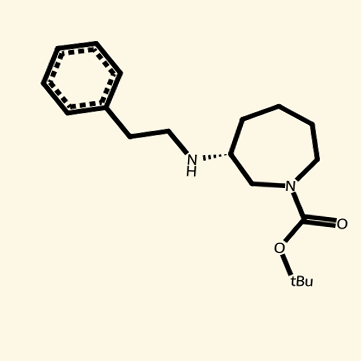 CC(C)(C)OC(=O)N1CCCC[C@@H](NCCc2ccccc2)C1